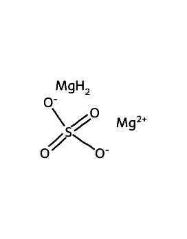 O=S(=O)([O-])[O-].[Mg+2].[MgH2]